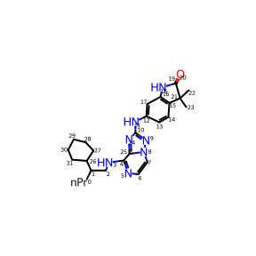 CCCC(CNc1nccn2nc(Nc3ccc4c(c3)NC(=O)C4(C)C)nc12)C1CCCCC1